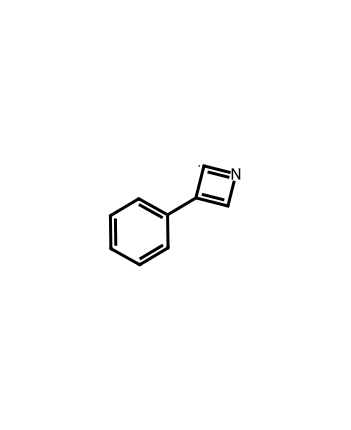 [C]1=NC=C1c1ccccc1